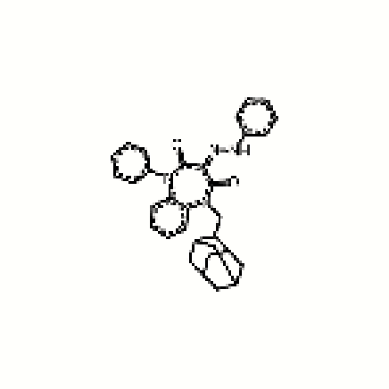 O=c1c(=NNc2ccccc2)c(=O)n(-c2ccccc2)c2ccccc2n1CC1C2CC3CC(C2)CC1C3